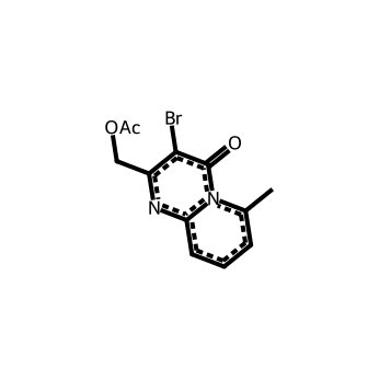 CC(=O)OCc1nc2cccc(C)n2c(=O)c1Br